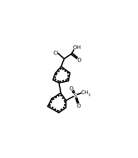 CS(=O)(=O)c1ccccc1-c1ccc(C(Cl)C(=O)O)cc1